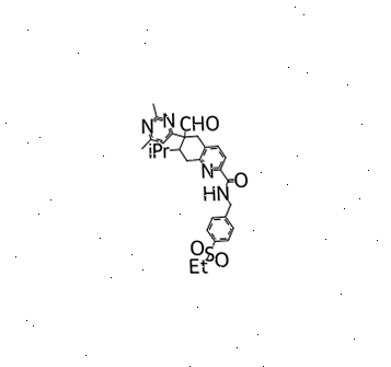 CCS(=O)(=O)c1ccc(CNC(=O)c2ccc3c(n2)CC(C(C)C)C(C=O)(c2cc(C)nc(C)n2)C3)cc1